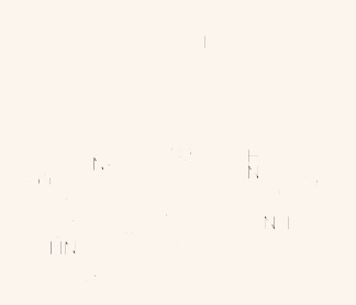 Cn1cc(-c2ccc3[nH]c(=O)[nH]c3c2Oc2cccc(F)c2)c2cc[nH]c2c1=O